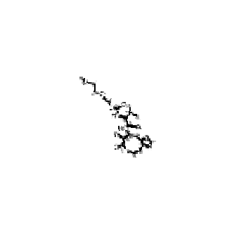 COCCOCCOC(=O)NC(C(=O)NC1Cc2scnc2CCNC(=O)C1=O)C(C)C